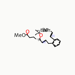 CCC/C=C/c1ccccc1C/C=C/[C@H](CCCC(=O)OC)O[Si](C)(C)C(C)(C)C